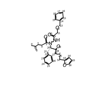 CC(C)CCC(=O)N(NC(=O)COCc1ccccc1)[C@@H](Cc1ccccc1)C(=O)CSCc1ccco1